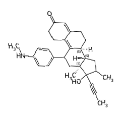 CC#CC1(O)C(C)C[C@H]2[C@@H]3CCC4=CC(=O)CCC4=C3C(c3ccc(NC)cc3)C[C@@]21C